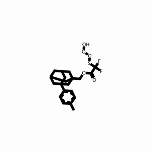 Cc1ccc(C23CC4CC(CC(COC(=O)C(F)(F)SOOO)(C4)C2)C3)cc1